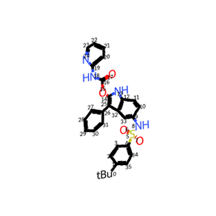 CC(C)(C)c1ccc(S(=O)(=O)Nc2ccc3[nH]c(OC(=O)Nc4ccccn4)c(-c4ccccc4)c3c2)cc1